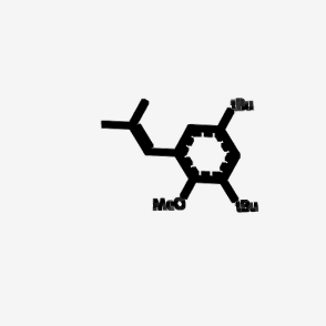 COc1c(C=C(C)C)cc(C(C)(C)C)cc1C(C)(C)C